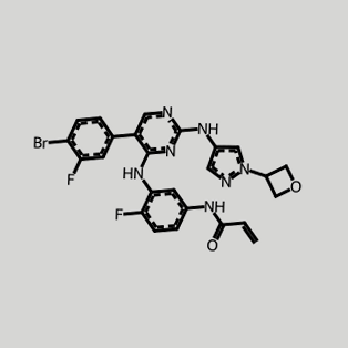 C=CC(=O)Nc1ccc(F)c(Nc2nc(Nc3cnn(C4COC4)c3)ncc2-c2ccc(Br)c(F)c2)c1